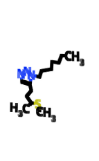 CCCCCCCn1nncc1CCC(C)SC